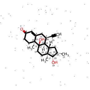 C#C[C@@H]1CC2=CC(=O)CC[C@]2(C)[C@@]2(O)CC[C@]3(C)[C@@H](O)[C@@H](C)C[C@H]3[C@H]12